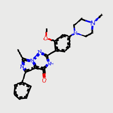 COc1cc(N2CCN(C)CC2)ccc1-c1nn2c(C)nc(-c3ccccc3)c2c(=O)[nH]1